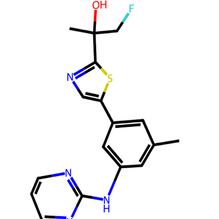 Cc1cc(Nc2ncccn2)cc(-c2cnc(C(C)(O)CF)s2)c1